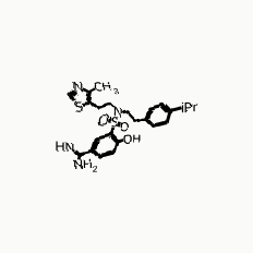 Cc1ncsc1CCN(CCc1ccc(C(C)C)cc1)S(=O)(=O)c1cc(C(=N)N)ccc1O